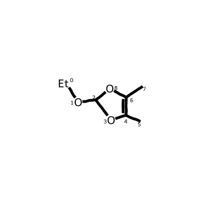 CCOC1OC(C)=C(C)O1